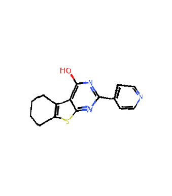 Oc1nc(-c2ccncc2)nc2sc3c(c12)CCCC3